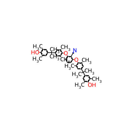 Cc1cc(C(C)(C)c2cc(C)c(Oc3cccc(Oc4c(C)cc(C(C)(C)c5cc(C)c(O)c(C)c5)cc4C)c3C#N)c(C)c2)cc(C)c1O